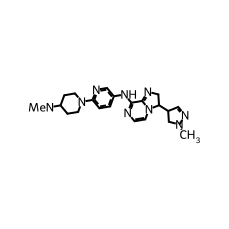 CNC1CCN(c2ccc(NC3=NC=CN4C3=NCC4C3C=NN(C)C3)cn2)CC1